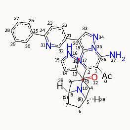 CC(=O)c1c(C2C[C@H]3CC[C@@H](C2)N3C(=O)c2cc[nH]c2)nc2c(-c3ccc(-c4ccccc4)nc3)cnn2c1N